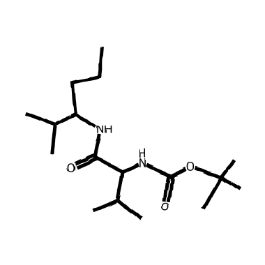 CCCC(NC(=O)C(NC(=O)OC(C)(C)C)C(C)C)C(C)C